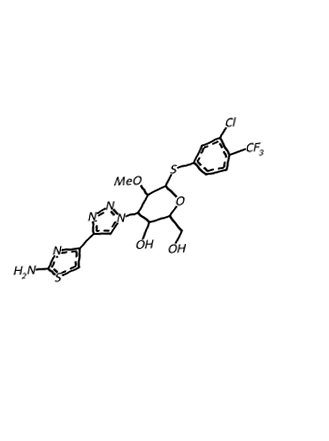 COC1C(Sc2ccc(C(F)(F)F)c(Cl)c2)OC(CO)C(O)C1n1cc(-c2csc(N)n2)nn1